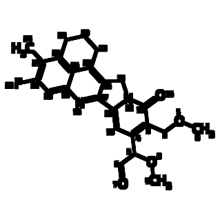 COCc1c(C(C=O)OC)cc2n(c1=O)Cc1c-2nc2cc(F)c(C)c3c2c1CCC3